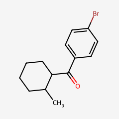 CC1CCCCC1C(=O)c1ccc(Br)cc1